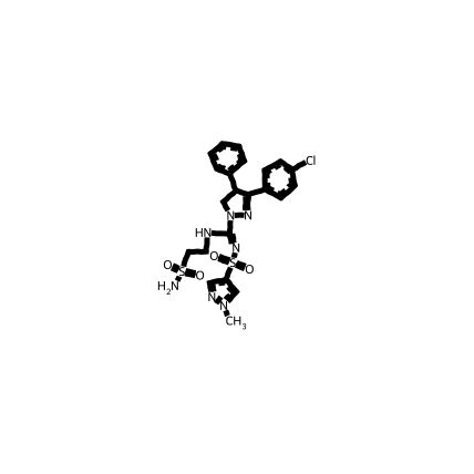 Cn1cc(S(=O)(=O)N=C(NCCS(N)(=O)=O)N2CC(c3ccccc3)C(c3ccc(Cl)cc3)=N2)cn1